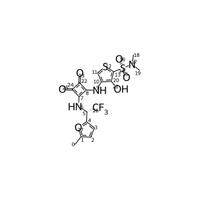 Cc1ccc([C@H](Nc2c(Nc3csc(S(=O)(=O)N(C)C)c3O)c(=O)c2=O)C(F)(F)F)o1